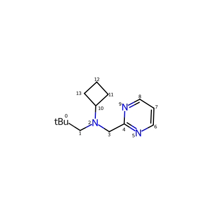 CC(C)(C)CN(Cc1ncccn1)C1CCC1